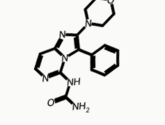 NC(=O)Nc1nccc2nc(N3CCOCC3)c(-c3ccccc3)n12